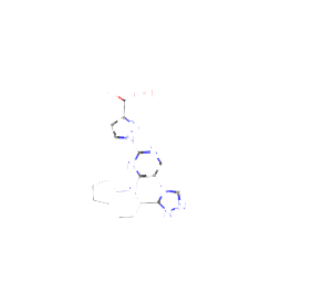 CCC1c2nnc(C)n2-c2cnc(-n3ccc(C(=O)O)n3)nc2N1C1CCCC1